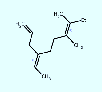 C=CC/C(=C/C)CC/C(C)=C(\C)CC